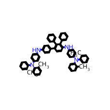 Cc1ccccc1N(c1ccc(Nc2ccc(-c3ccc(Nc4ccc(N(c5ccccc5C)c5ccccc5C)cc4)c(-c4ccccc4)c3-c3ccccc3)cc2)cc1)c1ccccc1C